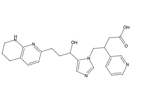 O=C(O)CC(Cn1cncc1C(O)CCc1ccc2c(n1)NCCC2)c1cccnc1